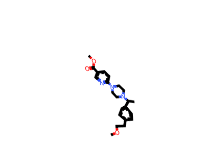 COCCc1ccc(C(C)N2CCN(c3ccc(C(=O)OC)cn3)CC2)cc1